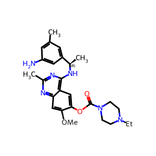 CCN1CCN(C(=O)Oc2cc3c(N[C@H](C)c4cc(C)cc(N)c4)nc(C)nc3cc2OC)CC1